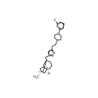 C[C@@]12CC3CC(Cn4cc(CCN5CCN(c6cccc(F)n6)CC5)nn4)(CCC[C@H]3C1)C2